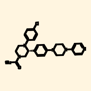 CC(C)(C)C(=O)N1CCN(c2ccc(Cl)cc2)[C@H](c2ccc(N3CCN(c4ccncc4)CC3)cc2)C1